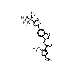 BC(B)(B)c1nc(-c2ccc3c(c2)OC[C@H]3NC(=O)c2cc(C)nn2C)no1